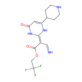 N=C/C(C(=O)OCC(F)(F)F)=C1/NC(=O)C=C(C2CCNCC2)N1